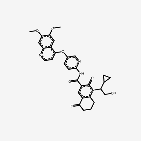 COc1cc2nccc(Oc3ccc(NC(=O)c4cc5c(n(C(CO)C6CC6)c4=O)CCCC5=O)nc3)c2cc1OC